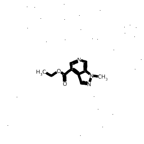 CCOC(=O)c1cncc2c1cnn2C